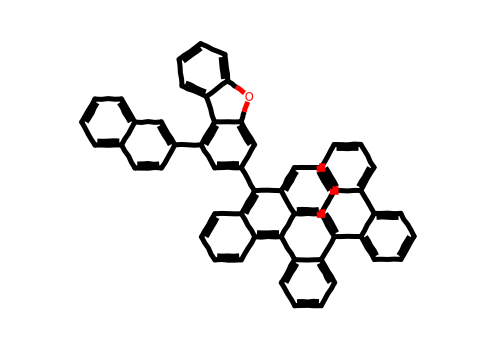 c1ccc(-c2cc3ccccc3c3ccccc23)c(-c2c3ccccc3c(-c3cc(-c4ccc5ccccc5c4)c4c(c3)oc3ccccc34)c3ccccc23)c1